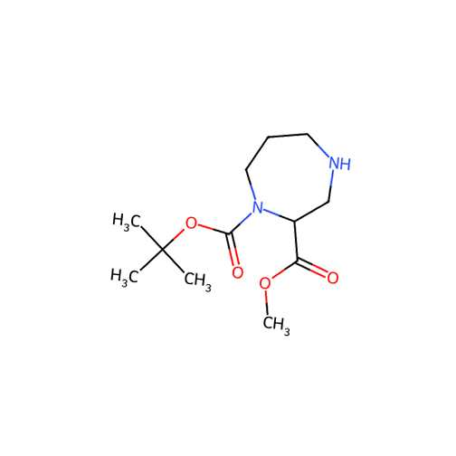 COC(=O)C1CNCCCN1C(=O)OC(C)(C)C